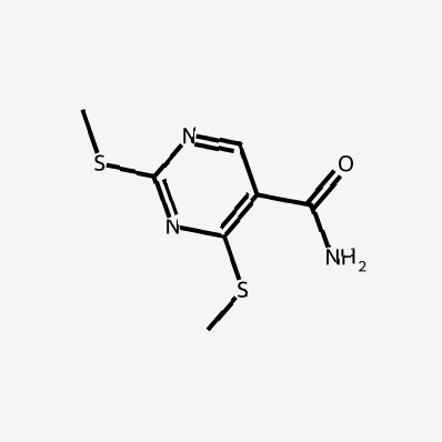 CSc1ncc(C(N)=O)c(SC)n1